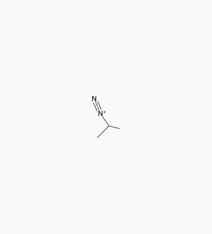 CC(C)[N+]#N